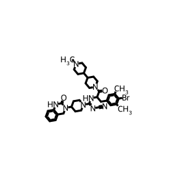 Cc1cc(CC(NC(=NC#N)N2CCC(N3Cc4ccccc4NC3=O)CC2)C(=O)N2CCC(C3CCN(C)CC3)CC2)cc(C)c1Br